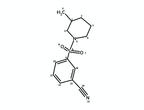 [CH2]C1CCCN(S(=O)(=O)c2cccc(C#N)c2)C1